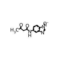 CC(=O)CC(=O)Nc1ccc2c(c1)N=C=[N+]2[O-]